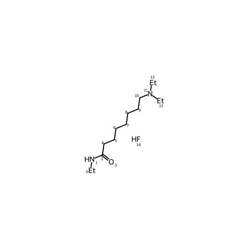 CCNC(=O)CCCCCCCN(CC)CC.F